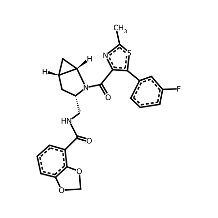 Cc1nc(C(=O)N2[C@H](CNC(=O)c3cccc4c3OCO4)C[C@@H]3C[C@@H]32)c(-c2cccc(F)c2)s1